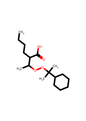 CCCCC(C(=O)O)C(C)OOC(C)(C)C1CCCCC1